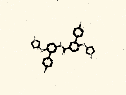 O=C(Nc1ccc(O[C@H]2CCNC2)c(-c2ccc(F)cc2)c1)c1ccc(O[C@H]2CCNC2)c(-c2ccc(F)cc2)c1